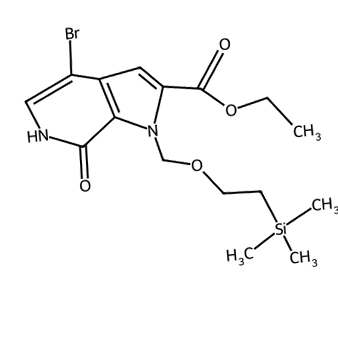 CCOC(=O)c1cc2c(Br)c[nH]c(=O)c2n1COCC[Si](C)(C)C